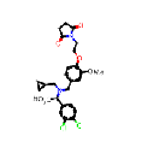 COc1cc(CN(CC2CC2)[C@H](C(=O)O)c2ccc(Cl)c(Cl)c2)ccc1OCCN1C(=O)CCC1=O